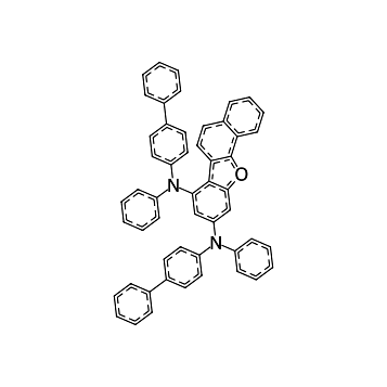 c1ccc(-c2ccc(N(c3ccccc3)c3cc(N(c4ccccc4)c4ccc(-c5ccccc5)cc4)c4c(c3)oc3c5ccccc5ccc34)cc2)cc1